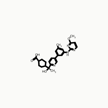 COc1ccnc(Nc2cc(C)cc(-c3ccc([C@](C)(O)C4CCC(C(=O)O)CC4)nc3)c2)n1